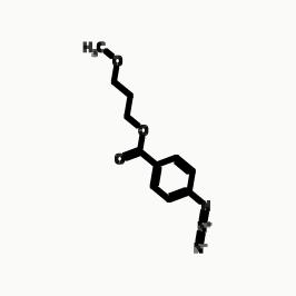 COCCCOC(=O)c1ccc(N=[N+]=[N-])cc1